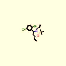 C=CCCC(c1cc(Cl)ccc1Br)N(CC=C)[S@@+]([O-])C(C)(C)C